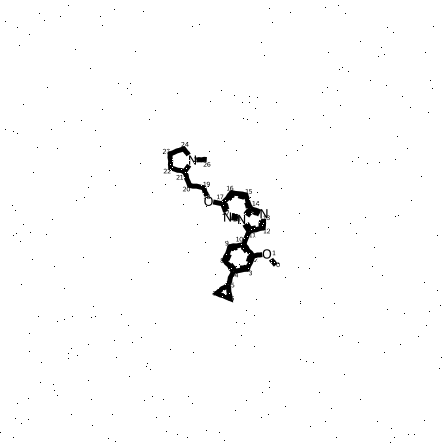 COc1cc(C2CC2)ccc1-c1cnc2ccc(OCCC3CCCN3C)nn12